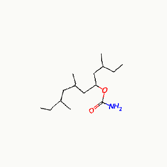 CCC(C)CC(C)CC(CC(C)CC)OC(N)=O